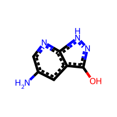 Nc1cnc2[nH]nc(O)c2c1